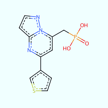 O=P(O)(O)Cc1cc(-c2ccsc2)nc2ccnn12